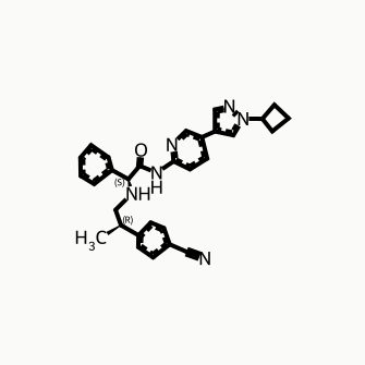 C[C@@H](CN[C@H](C(=O)Nc1ccc(-c2cnn(C3CCC3)c2)cn1)c1ccccc1)c1ccc(C#N)cc1